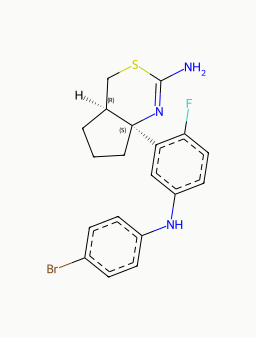 NC1=N[C@@]2(c3cc(Nc4ccc(Br)cc4)ccc3F)CCC[C@H]2CS1